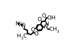 CCn1nc(C(=O)O)c(=O)c2cc3c(cc21)OC(CC(C)CCN=[N+]=[N-])O3